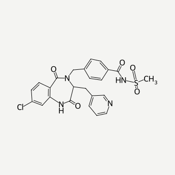 CS(=O)(=O)NC(=O)c1ccc(CN2C(=O)c3ccc(Cl)cc3NC(=O)C2Cc2cccnc2)cc1